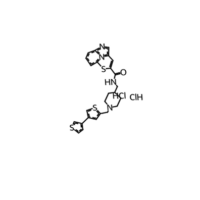 Cl.Cl.O=C(NCC1CCN(Cc2cc(-c3ccsc3)cs2)CC1)C1=Cc2cnc3cccc(n23)S1